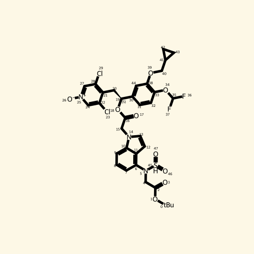 CC(C)(C)OC(=O)CN(c1cccc2c1ccn2CC(=O)O[C@@H](Cc1c(Cl)c[n+]([O-])cc1Cl)c1ccc(OC(F)F)c(OCC2CC2)c1)[SH](=O)=O